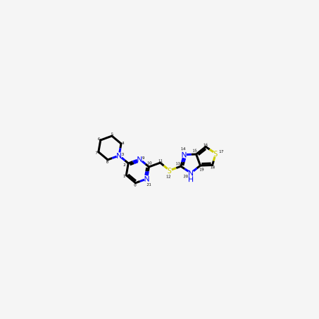 c1cc(N2CCCCC2)nc(CSc2nc3cscc3[nH]2)n1